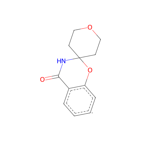 O=C1NC2(CCOCC2)Oc2c[c]ccc21